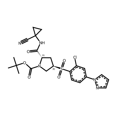 CC(C)(C)OC(=O)N1C[C@H](S(=O)(=O)c2ccc(-n3cccn3)cc2Cl)C[C@H]1C(=O)NC1(C#N)CC1